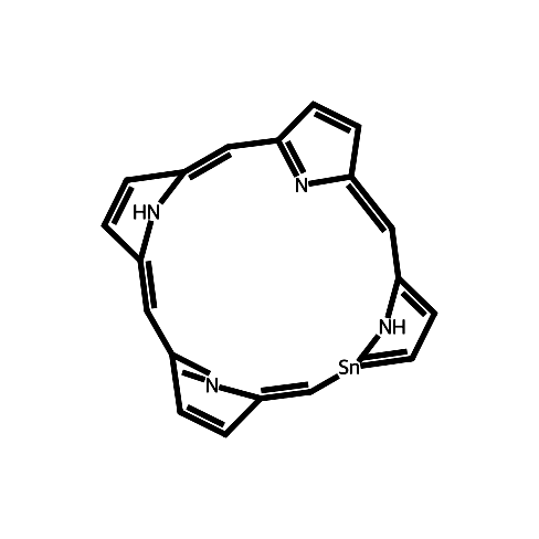 C1=CC2=NC1=CC1=C[CH]=[Sn]([CH]=C3C=CC(=N3)C=c3ccc([nH]3)=C2)[NH]1